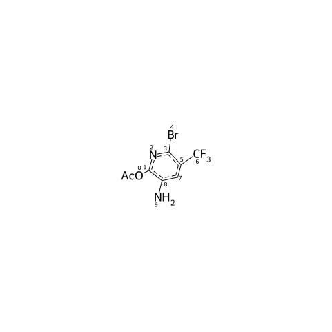 CC(=O)Oc1nc(Br)c(C(F)(F)F)cc1N